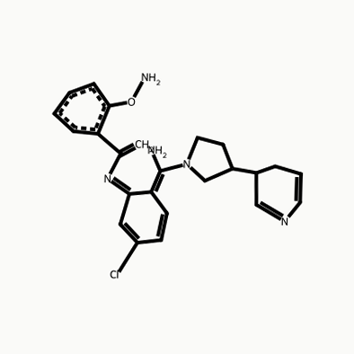 C=C(/N=C1/C=C(Cl)C=C/C1=C(/N)N1CCC(C2C=NC=CC2)C1)c1ccccc1ON